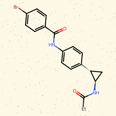 CCC(=O)N[C@@H]1C[C@H]1c1ccc(NC(=O)c2ccc(Br)cc2)cc1